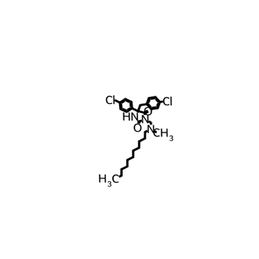 CCCCCCCCCCCN(C)CN1C(=O)NC(Cc2ccc(Cl)cc2)(c2ccc(Cl)cc2)C1=O